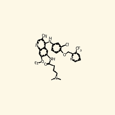 CCOc1cc2ncc(C#N)c(Nc3ccc(OCc4ncccc4C(F)(F)F)c(Cl)c3)c2cc1NC(=O)CCCN(C)C